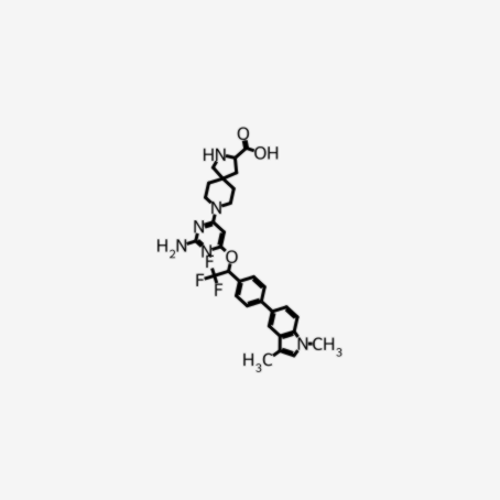 Cc1cn(C)c2ccc(-c3ccc(C(Oc4cc(N5CCC6(CC5)CNC(C(=O)O)C6)nc(N)n4)C(F)(F)F)cc3)cc12